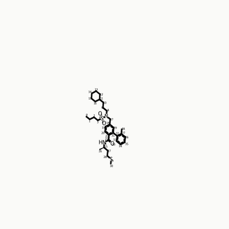 CCCCS(=O)(=O)N(CCCC1CCCCC1)Cc1ccc(C(=O)N[C@H](C)CCSC)c(-c2ccccc2C)c1